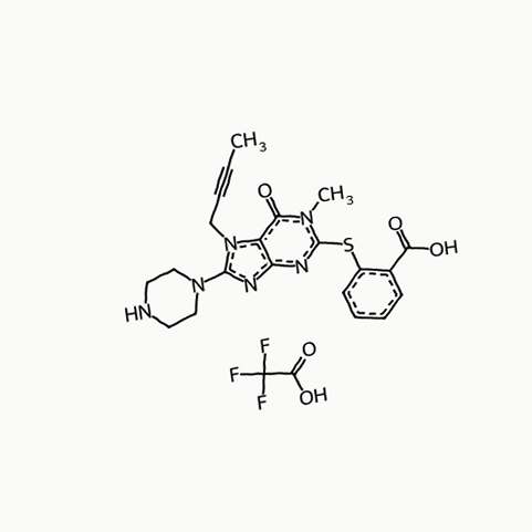 CC#CCn1c(N2CCNCC2)nc2nc(Sc3ccccc3C(=O)O)n(C)c(=O)c21.O=C(O)C(F)(F)F